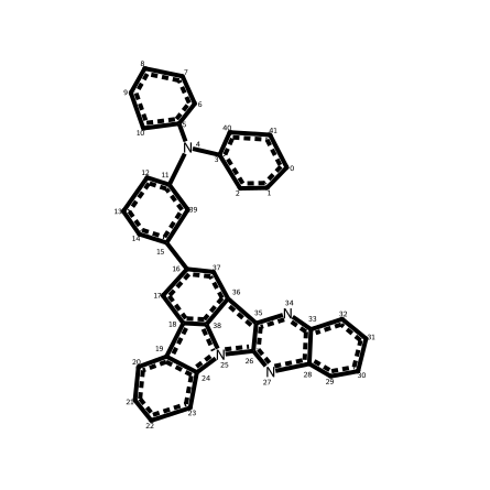 c1ccc(N(c2ccccc2)c2cccc(-c3cc4c5ccccc5n5c6nc7ccccc7nc6c(c3)c45)c2)cc1